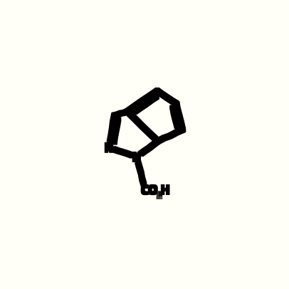 O=C(O)N1N=CC2=CC=CC21